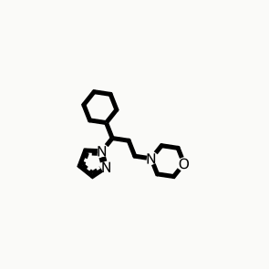 c1cnn(C(CCN2CCOCC2)C2CCCCC2)c1